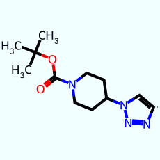 CC(C)(C)OC(=O)N1CCC(n2c[c]nn2)CC1